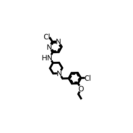 CCOc1cc(CN2CCC(Nc3ccnc(Cl)n3)CC2)ccc1Cl